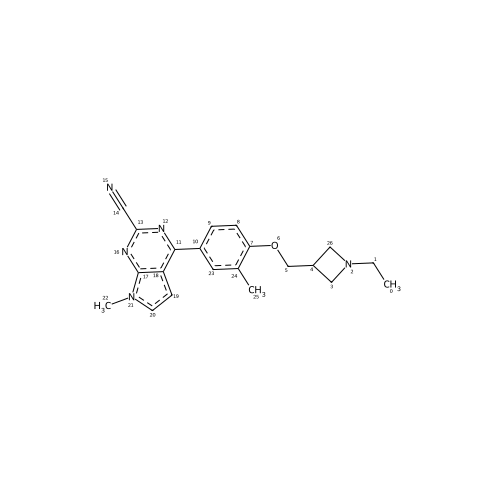 CCN1CC(COc2ccc(-c3nc(C#N)nc4c3ccn4C)cc2C)C1